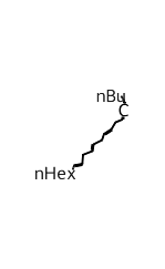 [CH2]CCCCC/C=C/C/C=C/C/C=C/CC=C=CCCCC